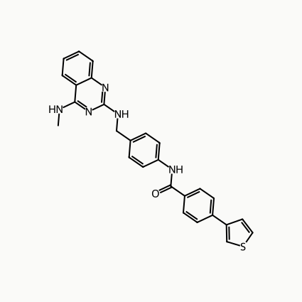 CNc1nc(NCc2ccc(NC(=O)c3ccc(-c4ccsc4)cc3)cc2)nc2ccccc12